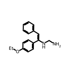 CCOc1ccc(/C(=C\c2ccccc2)NCN)cc1